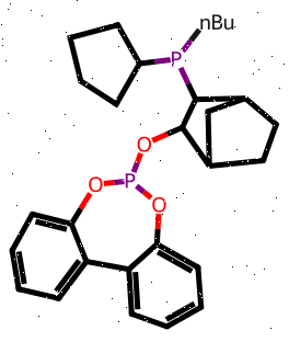 CCCCP(C1CCCC1)C1C2CCC(C2)C1Op1oc2ccccc2c2ccccc2o1